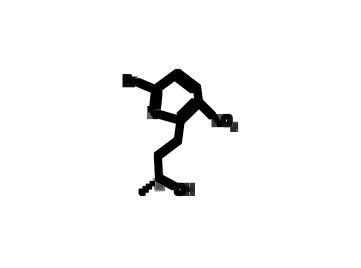 C[C@@H](O)CCc1nc(Br)ccc1[N+](=O)[O-]